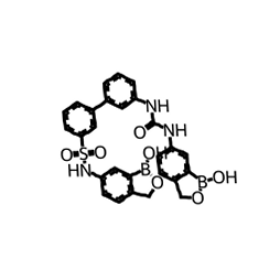 O=C(Nc1cccc(-c2cccc(S(=O)(=O)Nc3ccc4c(c3)B(O)OC4)c2)c1)Nc1ccc2c(c1)B(O)OC2